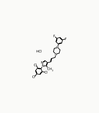 Cc1c(C=CCN2CCN(c3cc(F)cc(F)c3)CC2)cnn1-c1c(Cl)cc(Cl)cc1Cl.Cl